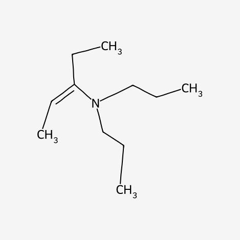 CC=C(CC)N(CCC)CCC